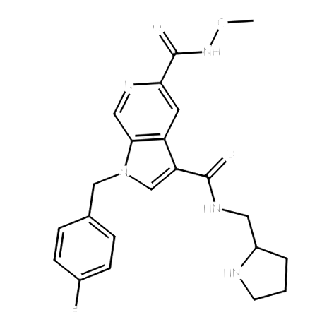 CONC(=O)c1cc2c(C(=O)NCC3CCCN3)cn(Cc3ccc(F)cc3)c2cn1